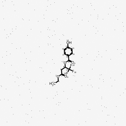 CCOC(=O)CC(OC(=O)c1ccc(O)cc1)C(F)(F)F